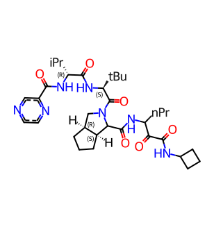 CCCC(NC(=O)C1[C@H]2CCC[C@H]2CN1C(=O)[C@@H](NC(=O)[C@H](NC(=O)c1cnccn1)C(C)C)C(C)(C)C)C(=O)C(=O)NC1CCC1